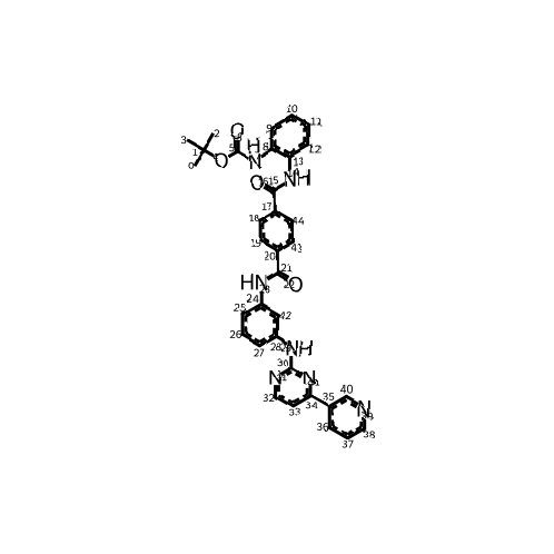 CC(C)(C)OC(=O)Nc1ccccc1NC(=O)c1ccc(C(=O)Nc2cccc(Nc3nccc(-c4cccnc4)n3)c2)cc1